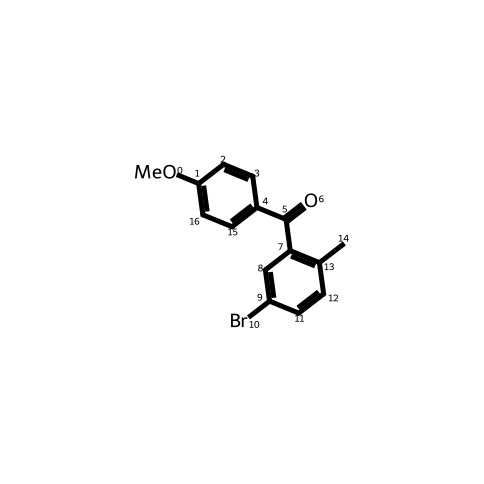 COc1ccc(C(=O)c2cc(Br)ccc2C)cc1